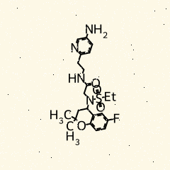 CCS(=O)(=O)N(CC(=O)NCCc1ccc(N)cn1)C1CC(C)(C)Oc2ccc(F)cc21